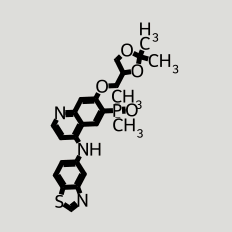 CC1(C)OCC(COc2cc3nccc(Nc4ccc5scnc5c4)c3cc2P(C)(C)=O)O1